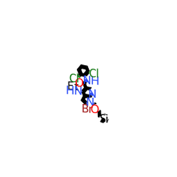 CCNc1c(C(=O)Nc2c(Cl)cccc2Cl)cnc2c1cc(Br)n2COCC[Si](C)(C)C